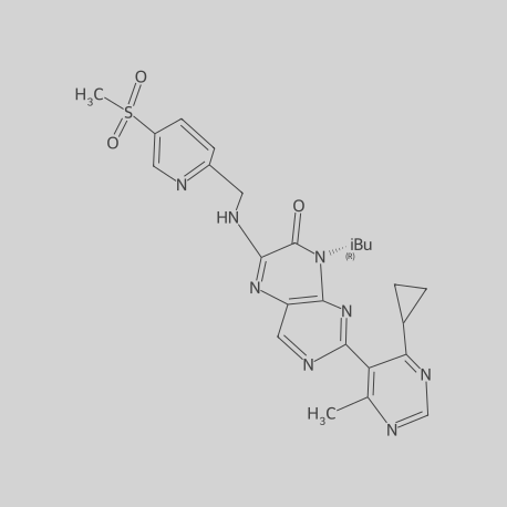 CC[C@@H](C)n1c(=O)c(NCc2ccc(S(C)(=O)=O)cn2)nc2cnc(-c3c(C)ncnc3C3CC3)nc21